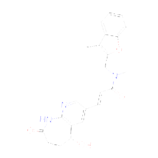 Cc1c(CN(C)C(=O)/C=C/c2cnc3c(c2)C(O)CCC(=O)N3)oc2ccccc12